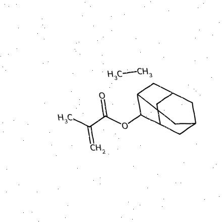 C=C(C)C(=O)OC1C2CC3CC(C2)CC1C3.CC